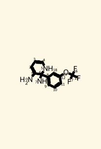 NC1=CC=CNC1(N)c1cccc(OC(F)(F)F)c1